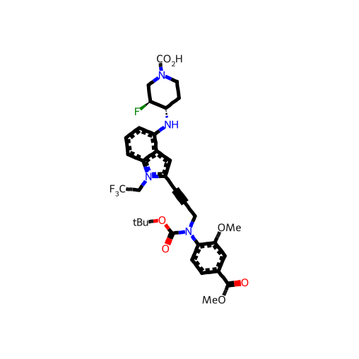 COC(=O)c1ccc(N(CC#Cc2cc3c(N[C@H]4CCN(C(=O)O)C[C@@H]4F)cccc3n2CC(F)(F)F)C(=O)OC(C)(C)C)c(OC)c1